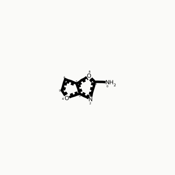 Nc1nc2occc2o1